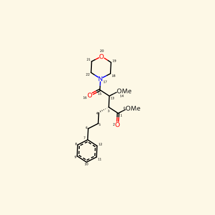 COC(=O)[C@H](CCCc1ccccc1)C(OC)C(=O)N1CCOCC1